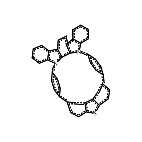 c1ccc2c(c1)c1ccc3c4ccccc4n4c5ccc(cc5)c5ccc6sc7ccc(cc7c6c5)c5ccc(cc5)n2c1c34